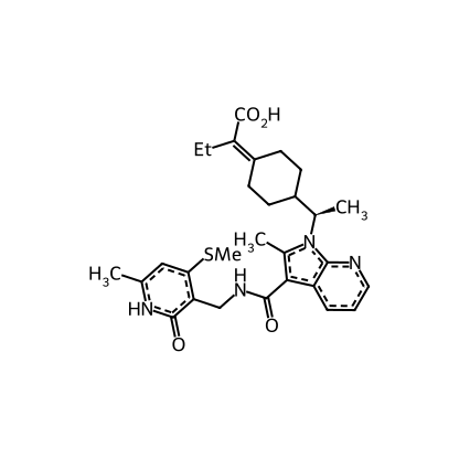 CCC(C(=O)O)=C1CCC([C@@H](C)n2c(C)c(C(=O)NCc3c(SC)cc(C)[nH]c3=O)c3cccnc32)CC1